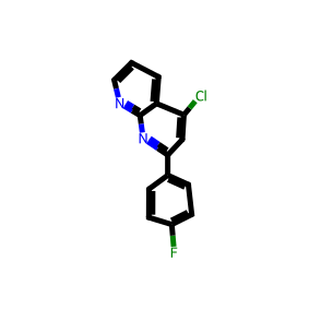 Fc1ccc(-c2cc(Cl)c3cccnc3n2)cc1